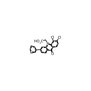 O=C(O)Cn1c2cc(-c3cccnc3)ccc2c(=O)c2ccc(Cl)c(Cl)c21